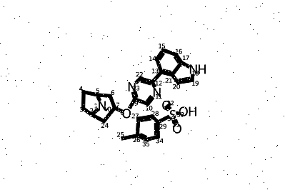 CN1C2CCC1CC(Oc1cnc(-c3cccc4[nH]ccc34)cn1)C2.Cc1ccc(S(=O)(=O)O)cc1